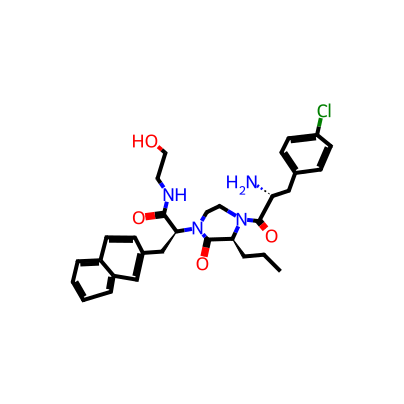 CCC[C@H]1C(=O)N([C@@H](Cc2ccc3ccccc3c2)C(=O)NCCO)CCN1C(=O)[C@H](N)Cc1ccc(Cl)cc1